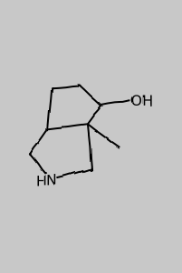 CC12CNCC1CCC2O